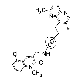 Cc1ccc2ncc(F)c(CCC34CCC(NCc5cc6c(Cl)cccc6n(C)c5=O)(CC3)CO4)c2n1